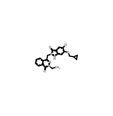 CCn1nc(Cn2[nH]c3cc(OCC4CC4)c(Cl)cc3c2=O)c2ccccc2c1=O